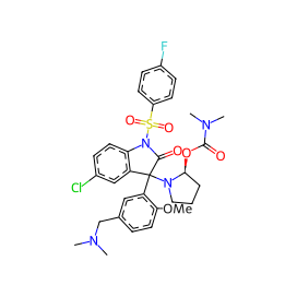 COc1ccc(CN(C)C)cc1C1(N2CCC[C@@H]2OC(=O)N(C)C)C(=O)N(S(=O)(=O)c2ccc(F)cc2)c2ccc(Cl)cc21